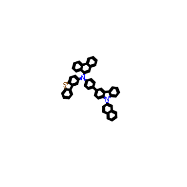 c1ccc2cc(-n3c4ccccc4c4cc(-c5ccc(N(c6ccc7sc8ccccc8c7c6)c6cc7ccccc7c7ccccc67)cc5)ccc43)ccc2c1